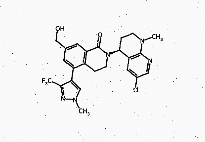 CN1CC[C@H](N2CCc3c(cc(CO)cc3-c3cn(C)nc3C(F)(F)F)C2=O)c2cc(Cl)cnc21